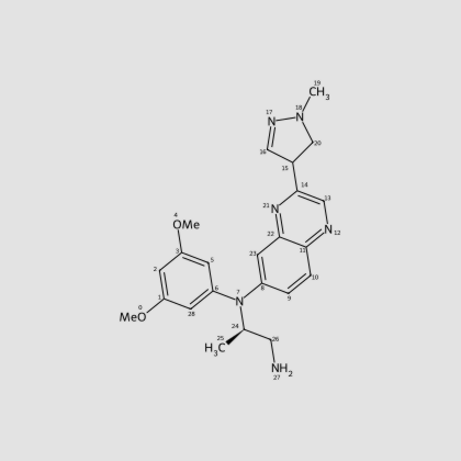 COc1cc(OC)cc(N(c2ccc3ncc(C4C=NN(C)C4)nc3c2)[C@H](C)CN)c1